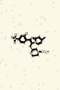 Cc1ccn2c(C[C@H]3CN(C(=O)O)CCO3)c(-c3ccc(S(=O)(=O)Cl)cc3Cl)nc2c1